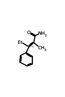 CC/C(=C(/C)C(N)=O)c1ccccc1